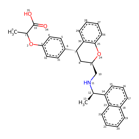 CC(Oc1ccc([C@H]2C[C@H](CN[C@H](C)c3cccc4ccccc34)Oc3ccccc32)cc1)C(=O)O